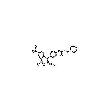 NN=C(c1ccc(OC(=O)C=Cc2ccccc2)cc1)c1ccc([N+](=O)[O-])cc1[N+](=O)[O-]